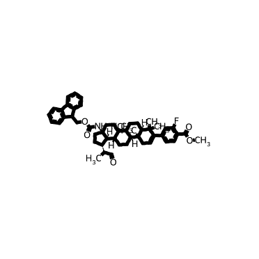 COC(=O)c1ccc(C2=CC[C@]3(C)[C@H]4CC[C@@H]5[C@H]6[C@H](C(C)C=O)CC[C@]6(NC(=O)OCC6c7ccccc7-c7ccccc76)CC[C@@]5(C)[C@]4(C)CC[C@H]3C2(C)C)cc1F